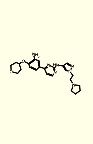 Nc1cc(-c2ccnc(Nc3cnn(CCN4CCCC4)c3)n2)ccc1OC1CCOCC1